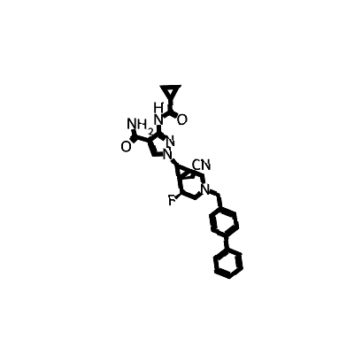 N#CC[C@@]12C(CN(Cc3ccc(-c4ccccc4)cc3)C[C@H]1F)C2n1cc(C(N)=O)c(NC(=O)C2CC2)n1